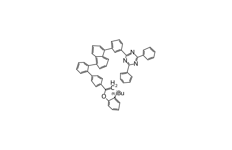 C=C(Oc1ccccc1[C@H](C)CC)c1ccc(-c2ccccc2-c2cccc3c(-c4cccc(-c5nc(-c6ccccc6)nc(-c6ccccc6)n5)c4)cccc23)cc1